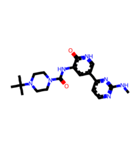 CNc1nccc(-c2c[nH]c(=O)c(NC(=O)N3CCN(C(C)(C)C)CC3)c2)n1